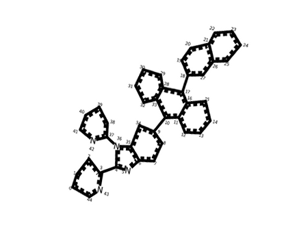 c1ccc(-c2nc3ccc(-c4c5ccccc5c(-c5ccc6ccccc6c5)c5ccccc45)cc3n2-c2ccccn2)nc1